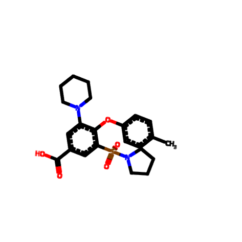 Cc1ccc(Oc2c(N3CCCCC3)cc(C(=O)O)cc2S(=O)(=O)N2CCCC2)cc1